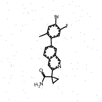 Cc1cc(Br)c(F)cc1-c1ccc2cc(C3(C(N)=O)CC3)ncc2c1